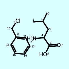 CC(C)CC(N)C(=O)O.ClCc1ccccc1